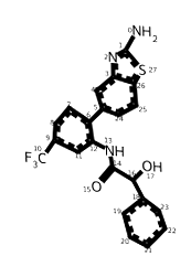 Nc1nc2[c]c(-c3ccc(C(F)(F)F)cc3NC(=O)C(O)c3ccccc3)ccc2s1